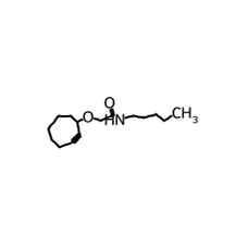 CCCCCNC(=O)COC1C#CCCCCC1